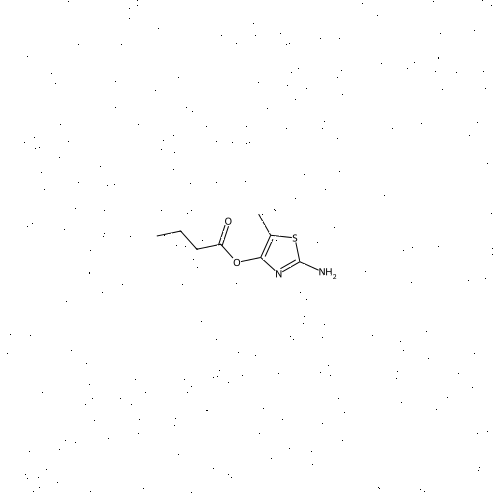 CCCC(=O)Oc1nc(N)sc1C